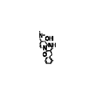 CN(C)CC1=C(O)C2NC=C(Cc3ccccc3)C(=O)N2C=C1